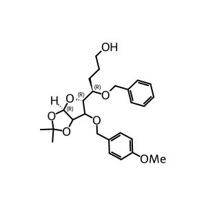 COc1ccc(COC2C3OC(C)(C)O[C@H]3O[C@@H]2[C@@H](CCCO)OCc2ccccc2)cc1